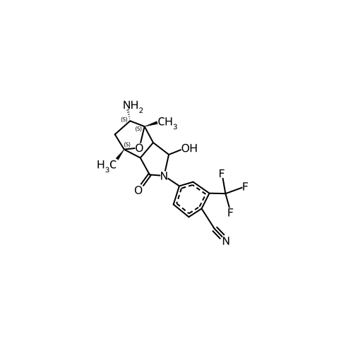 C[C@@]12O[C@@](C)(C[C@@H]1N)C1C(=O)N(c3ccc(C#N)c(C(F)(F)F)c3)C(O)C12